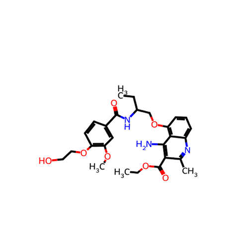 CCOC(=O)c1c(C)nc2cccc(OCC(CC)NC(=O)c3ccc(OCCO)c(OC)c3)c2c1N